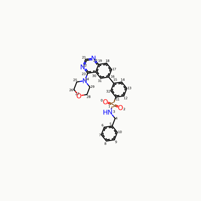 O=S(=O)(NCc1ccccc1)c1cccc(-c2ccc3ncnc(N4CCOCC4)c3c2)c1